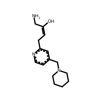 NC/C(O)=C\Cc1cc(CN2CCCCC2)ccn1